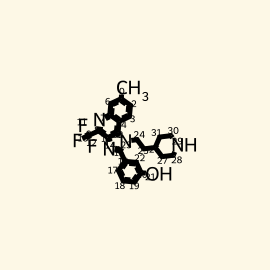 Cc1ccc2c(c1)nc(C(F)(F)F)c1nc(-c3cccc(O)c3)n(CCC3CCNCC3)c12